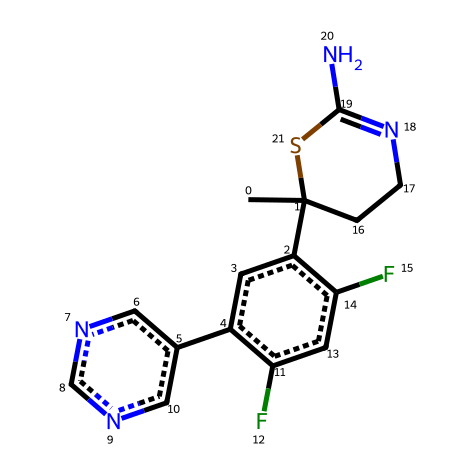 CC1(c2cc(-c3cncnc3)c(F)cc2F)CCN=C(N)S1